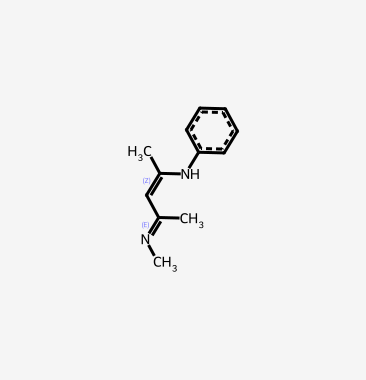 C/N=C(C)/C=C(/C)Nc1ccccc1